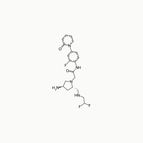 N[C@@H]1C[C@@H](CNCC(F)F)N(CC(=O)Nc2ccc(-n3ccccc3=O)cc2F)C1